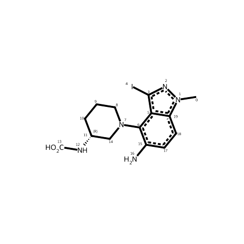 Cn1nc(I)c2c(N3CCC[C@@H](NC(=O)O)C3)c(N)ccc21